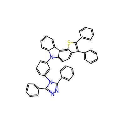 c1ccc(-c2sc3c(ccc4c3c3ccccc3n4-c3cccc(-n4c(-c5ccccc5)nnc4-c4ccccc4)c3)c2-c2ccccc2)cc1